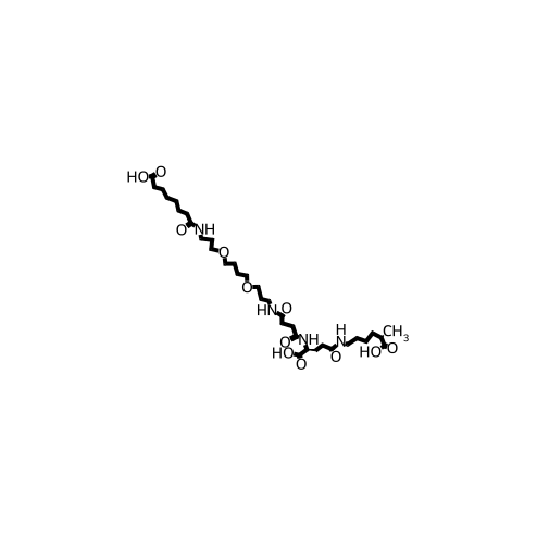 C[C@@H](CCCCNC(=O)CC[C@H](NC(=O)CCC(=O)NCCCOCCCCOCCCNC(=O)CCCCCCC(=O)O)C(=O)O)C(=O)O